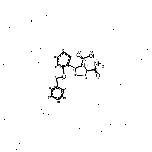 NC(=O)[C@H]1CC[C@@H](c2ccccc2OCc2ccccc2)N1C(=O)O